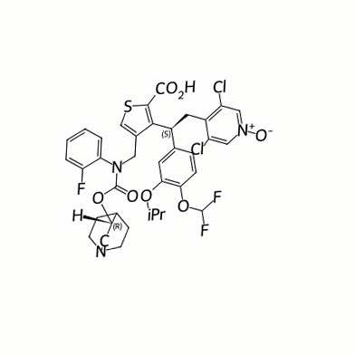 CC(C)Oc1cc([C@H](Cc2c(Cl)c[n+]([O-])cc2Cl)c2c(CN(C(=O)O[C@H]3CN4CCC3CC4)c3ccccc3F)csc2C(=O)O)ccc1OC(F)F